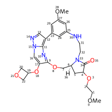 COCCOC1C[C@H]2COc3nc4c(cnn4cc3OC3COC3)-c3cc(cc(OC)c3)NCCN2C1=O